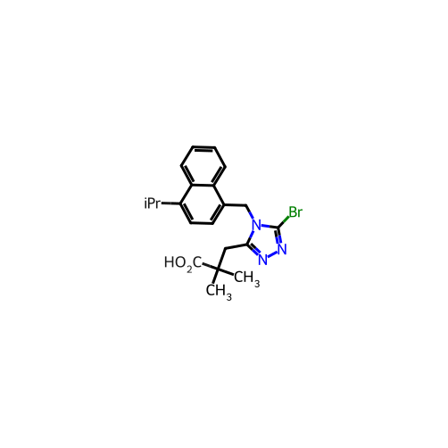 CC(C)c1ccc(Cn2c(Br)nnc2CC(C)(C)C(=O)O)c2ccccc12